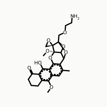 COc1c2c(c(O)c3c4c(c(C)cc13)C1OC3(COCCN)OC1[C@@](OC)(O4)[C@@]31CO1)C(=O)CCC2